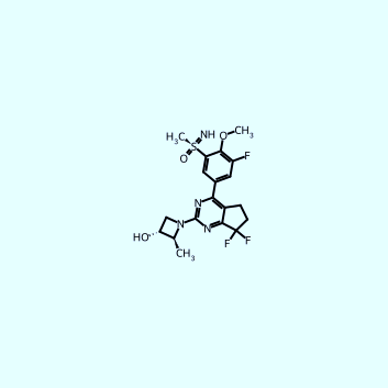 COc1c(F)cc(-c2nc(N3C[C@@H](O)[C@@H]3C)nc3c2CCC3(F)F)cc1[S@@](C)(=N)=O